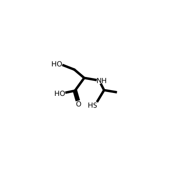 CC(S)NC(CO)C(=O)O